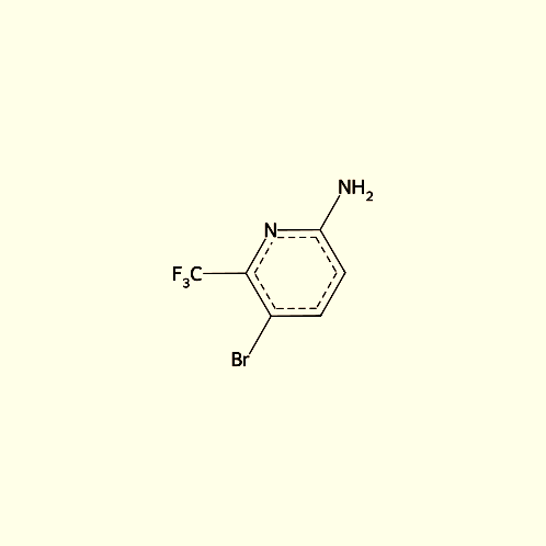 Nc1ccc(Br)c(C(F)(F)F)n1